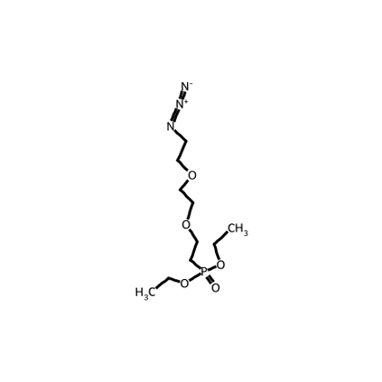 CCOP(=O)(CCOCCOCCN=[N+]=[N-])OCC